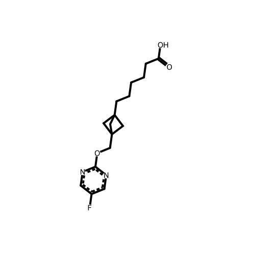 O=C(O)CCCCCC12CC(COc3ncc(F)cn3)(C1)C2